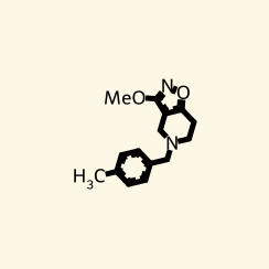 COc1noc2c1CN(Cc1ccc(C)cc1)CC2